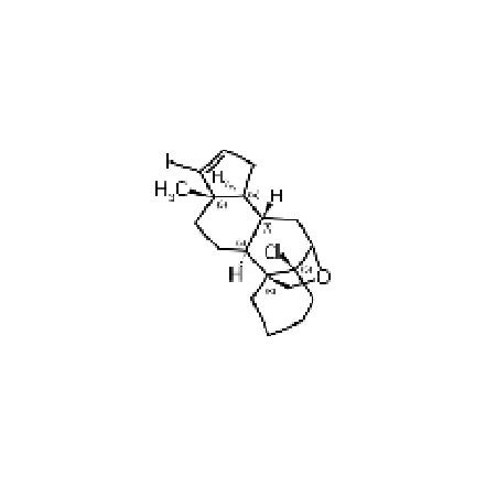 C[C@]12CC[C@H]3[C@@H](CC4OC[C@@]35CCCC[C@@]45Cl)[C@@H]1CC=C2I